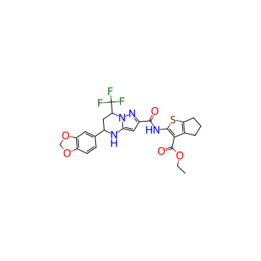 CCOC(=O)c1c(NC(=O)c2cc3n(n2)C(C(F)(F)F)CC(c2ccc4c(c2)OCO4)N3)sc2c1CCC2